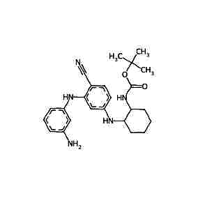 CC(C)(C)OC(=O)NC1CCCCC1Nc1ccc(C#N)c(Nc2cccc(N)c2)c1